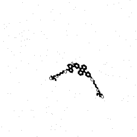 CCC1(COCCCCCOCc2ccc(-c3c4ccccc4c(-c4ccc5sc6ccc7c(COCCCCCOCC8(CC)COC8)cccc7c6c5c4)c4ccccc34)cc2)COC1